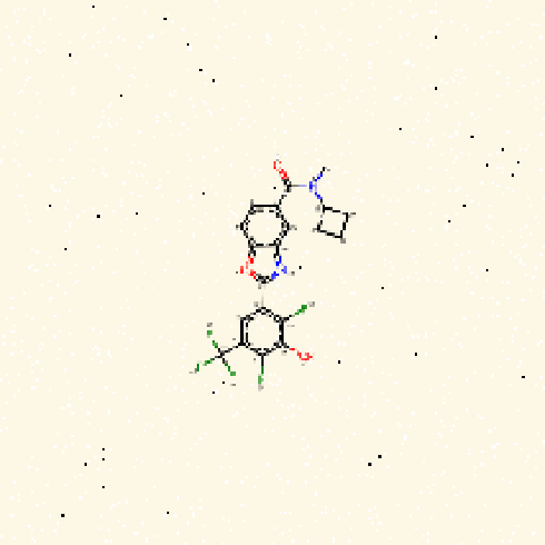 CN(C(=O)c1ccc2oc(-c3cc(C(F)(F)F)c(F)c(O)c3F)nc2c1)C1CCC1